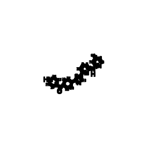 Cc1ccnc(Nc2cccc(-c3cnc(C4CCC(C(=O)N5CCNCC5)CC4)s3)n2)c1